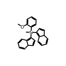 COc1ccccc1[Si](C)(C1=C2C=CC=CC2C=C1)C1=C2C=CC=CC2C=C1